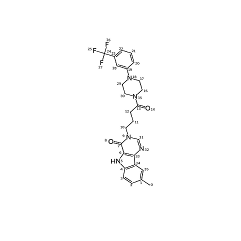 Cc1ccc2[nH]c3c(=O)n(CCCC(=O)N4CCN(c5cccc(C(F)(F)F)c5)CC4)cnc3c2c1